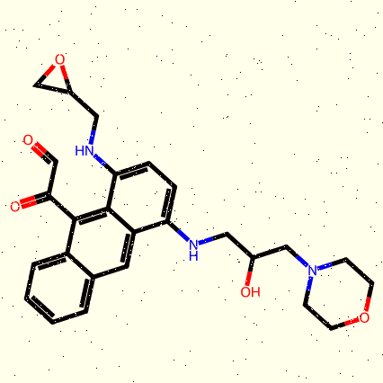 O=CC(=O)c1c2ccccc2cc2c(NCC(O)CN3CCOCC3)ccc(NCC3CO3)c12